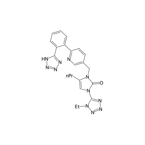 CCCc1cn(-c2nnnn2CC)c(=O)n1Cc1ccc(-c2ccccc2-c2nnn[nH]2)nc1